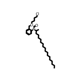 CCCCCCCCCCCCCCCCCC(C)N(C=O)c1ccccc1COCCCCCl